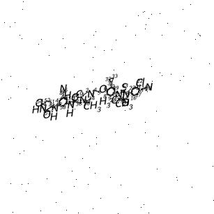 C[C@@H]1CN(CCOc2ccc(N3C(=S)N(c4ccc(C#N)c(Cl)c4)C(=O)C3(C)C)cc2C2CC2)C[C@H](C)N1CC(=O)Nc1cc(C#N)cc(NC2CCC(=O)NC2=O)c1